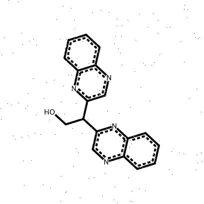 OCC(c1cnc2ccccc2n1)c1cnc2ccccc2n1